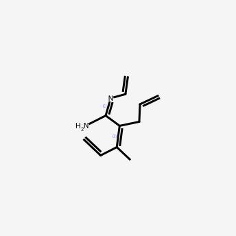 C=CCC(=C(\C)C=C)/C(N)=N\C=C